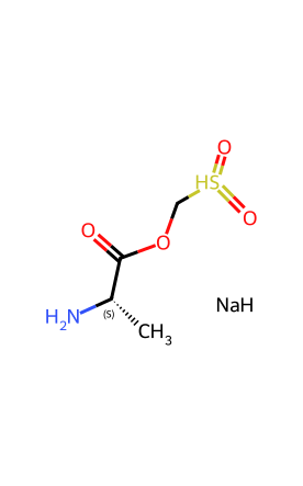 C[C@H](N)C(=O)OC[SH](=O)=O.[NaH]